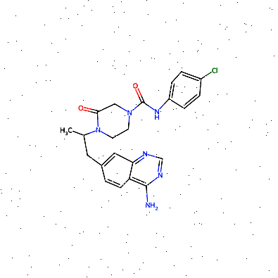 CC(Cc1ccc2c(N)ncnc2c1)N1CCN(C(=O)Nc2ccc(Cl)cc2)CC1=O